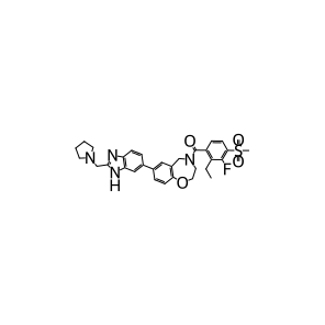 CCc1c(C(=O)N2CCOc3ccc(-c4ccc5nc(CN6CCCC6)[nH]c5c4)cc3C2)ccc(S(C)(=O)=O)c1F